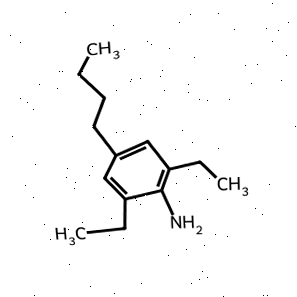 CCCCc1cc(CC)c(N)c(CC)c1